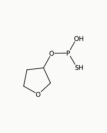 OP(S)OC1CCOC1